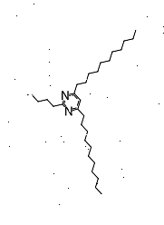 [CH2]CCCc1nc(CCCCCCCCCCC)cc(CCCCCCCCCCC)n1